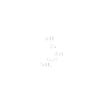 [AlH3].[GaH3].[InH3].[SnH4].[Zn]